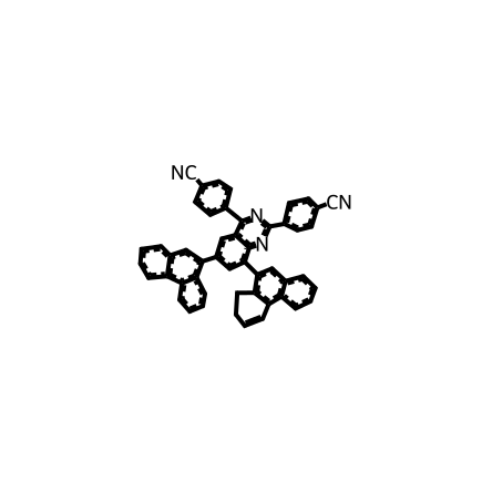 N#Cc1ccc(-c2nc(-c3ccc(C#N)cc3)c3cc(-c4cc5ccccc5c5ccccc45)cc(-c4cc5ccccc5c5c4CCC=C5)c3n2)cc1